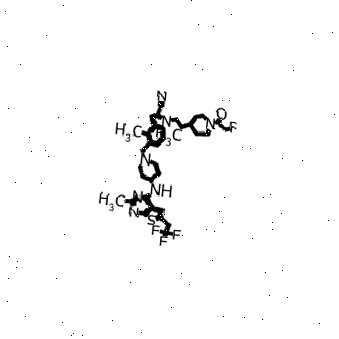 Cc1nc(NC2CCN(Cc3ccc4c(cc(C#N)n4C[C@H](C)C4CCN(C(=O)CF)CC4)c3C)CC2)c2cc(CC(F)(F)F)sc2n1